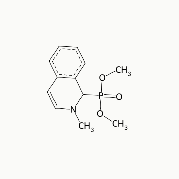 COP(=O)(OC)C1c2ccccc2C=CN1C